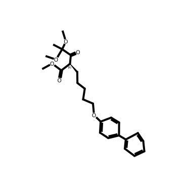 COC(=O)[C@H](CCCCCOc1ccc(-c2ccccc2)cc1)C(=O)C(C)(OC)OC